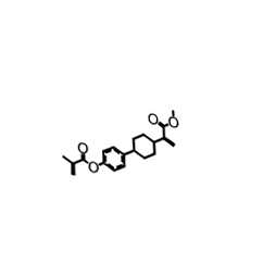 C=C(C)C(=O)Oc1ccc(C2CCC(C(=C)C(=O)OC)CC2)cc1